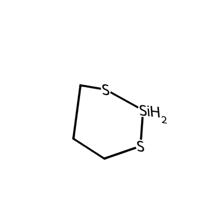 C1CS[SiH2]SC1